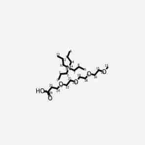 CCC[N+](CCC)(CCC)CCC.COCCOCCOCCOCCC(=O)O